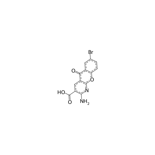 Nc1nc2oc3ccc(Br)cc3c(=O)c2cc1C(=O)O